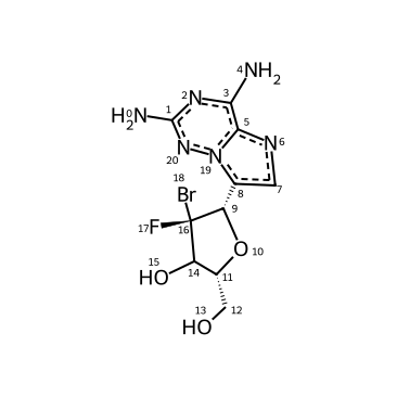 Nc1nc(N)c2ncc([C@@H]3O[C@H](CO)C(O)[C@]3(F)Br)n2n1